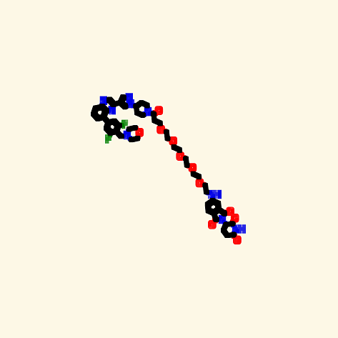 O=C1CCC(N2C(=O)c3ccc(NCCOCCOCCOCCOCCOCCC(=O)N4CCC(n5cc(-c6cnc7cccc(-c8cc(F)c(CN9CCOCC9)c(F)c8)c7n6)cn5)CC4)cc3C2=O)C(=O)N1